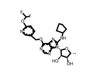 C[C@H]1O[C@@H](n2c(NC3CCCC3)nc3c(OCc4ccc(OC(F)F)nc4)ncnc32)[C@H](O)[C@@H]1O